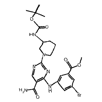 COC(=O)c1cc(Br)cc(Nc2nc(N3CCCC(NC(=O)OC(C)(C)C)C3)ncc2C(N)=O)c1